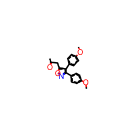 COc1ccc(-c2noc(CC(C)=O)c2-c2ccc(OC)cc2)cc1